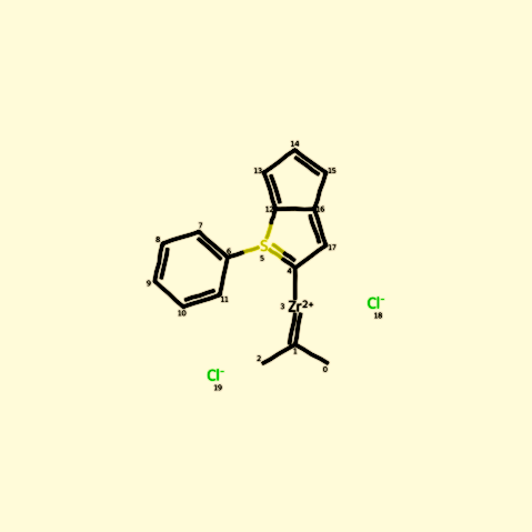 C[C](C)=[Zr+2][C]1=S(c2ccccc2)C2=CC=CC2=C1.[Cl-].[Cl-]